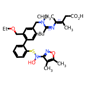 CCCC/C(=N/C(C)=C(\C)CC(=O)O)N(C=O)Cc1ccc(-c2ccccc2SN(O)c2noc(C)c2C)c(COCC)c1